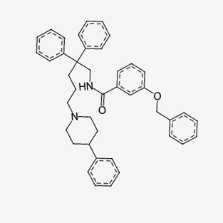 O=C(NCC(CCCN1CCC(c2ccccc2)CC1)(c1ccccc1)c1ccccc1)c1cccc(OCc2ccccc2)c1